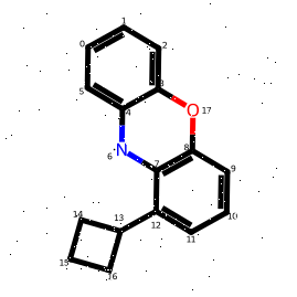 c1ccc2c(c1)[N]c1c(cccc1C1CCC1)O2